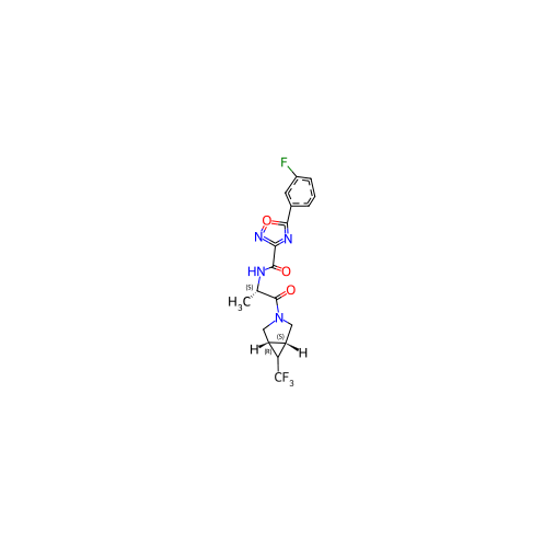 C[C@H](NC(=O)c1noc(-c2cccc(F)c2)n1)C(=O)N1C[C@@H]2C(C(F)(F)F)[C@@H]2C1